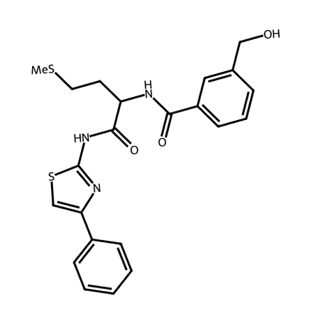 CSCCC(NC(=O)c1cccc(CO)c1)C(=O)Nc1nc(-c2ccccc2)cs1